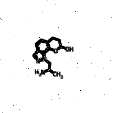 CC(N)Cn1ncc2ccc3c(c21)OC(O)CC3